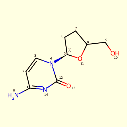 Nc1ccn([C@H]2CCC(CO)O2)c(=O)n1